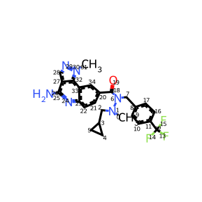 CN(CC1CC1)N(Cc1ccc(C(F)(F)F)cc1)C(=O)c1ccc2nc(N)c3cnn(C)c3c2c1